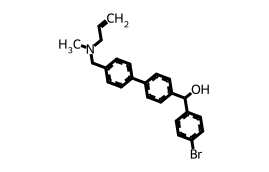 C=CCN(C)Cc1ccc(-c2ccc(C(O)c3ccc(Br)cc3)cc2)cc1